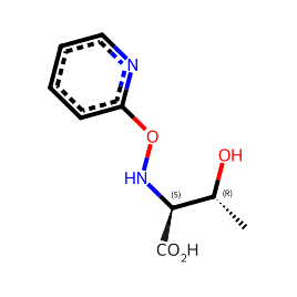 C[C@@H](O)[C@H](NOc1ccccn1)C(=O)O